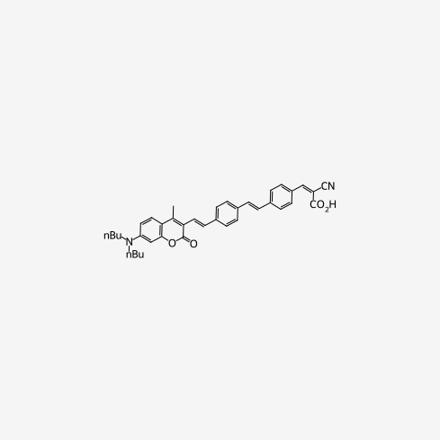 CCCCN(CCCC)c1ccc2c(C)c(/C=C/c3ccc(/C=C/c4ccc(C=C(C#N)C(=O)O)cc4)cc3)c(=O)oc2c1